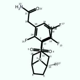 CNCCS(=O)(=O)N1C2CC[C@@H]1CC(c1c(F)c(F)cc(CC(N)=O)c1F)C2